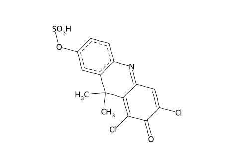 CC1(C)C2=C(Cl)C(=O)C(Cl)=CC2=Nc2ccc(OS(=O)(=O)O)cc21